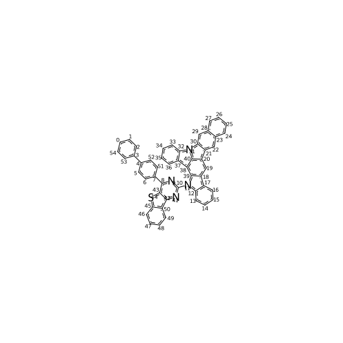 c1ccc(-c2ccc(-c3nc(-n4c5ccccc5c5cc6c7cc8ccccc8cc7n7c8ccccc8c(c54)c67)nc4c3sc3ccccc34)cc2)cc1